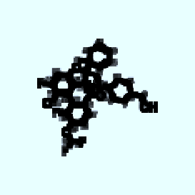 CC1([C@]2(CNC3CCC(CO)CC3)Cc3c(cc(F)c(Cl)c3C3=C(C(N)=O)C=CC(OC(F)F)C3F)O2)C=CC=CC1